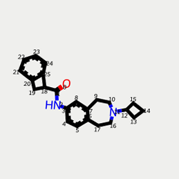 O=C(Nc1ccc2c(c1)CCN(C1CCC1)CC2)C1Cc2ccccc21